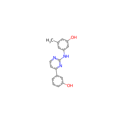 Cc1cc(O)cc(Nc2nccc(-c3cccc(O)c3)n2)c1